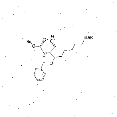 C=C[C@H](NC(=O)OC(C)(C)C)[C@@H](CCCCCCCCCCCCCCC)OCc1ccccc1